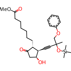 COC(=O)CCCCCC[C@H]1C(=O)C[C@H](O)[C@@H]1C#CC(C)(COc1ccccc1)O[Si](C)(C)C